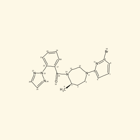 C[C@@H]1CCN(c2cccc(Br)n2)CCN1C(=O)c1ccccc1-n1nccn1